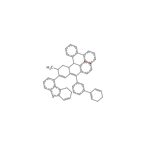 CC1CC2C(=C(c3cccc(C4=CCCC=C4)c3)c3ccccc3C2c2ccccc2-c2ccccc2)C=C1c1cccc2sc3c(c12)CCC=C3